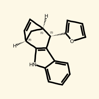 C1=C[C@H]2C[C@@H]1[C@H](c1ccco1)c1c2[nH]c2ccccc12